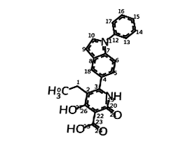 CCc1c(-c2ccc3c(ccn3-c3ccccc3)c2)[nH]c(=O)c(C(=O)O)c1O